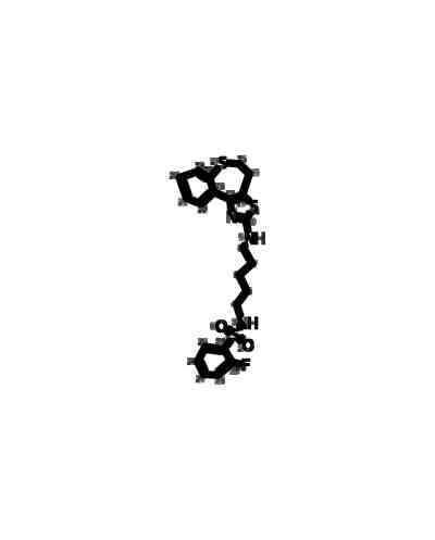 O=S(=O)(NCCCCCNc1nc2c(s1)CCSc1ccccc1-2)c1ccccc1F